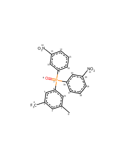 Cc1cc(C(F)(F)F)cc(P(=O)(c2cccc([N+](=O)[O-])c2)c2cccc([N+](=O)[O-])c2)c1